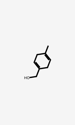 CC1=CCC(CO)=CC1